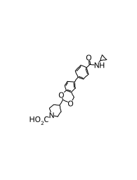 O=C(NC1CC1)c1ccc(-c2ccc3c(c2)COC(C2CCN(C(=O)O)CC2)O3)cc1